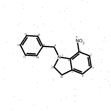 O=[N+]([O-])c1cccc2c1N(Cc1ccccc1)CC2